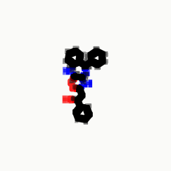 O=C(CC(O)c1ccccc1)NC1N=C(c2ccccc2)c2ccccc2NC1=O